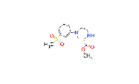 COC(=O)[C@@H]1CN(c2cccc(S(C)(=O)=O)c2)CCN1